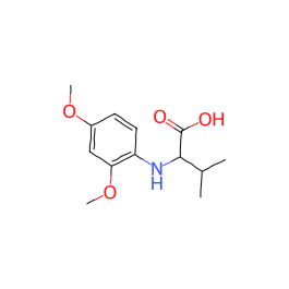 COc1ccc(NC(C(=O)O)C(C)C)c(OC)c1